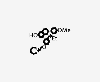 CCN(Cc1ccc(OCCN2CCCCCC2)cc1)C1C=C(OC)C=CC1[C@@H]1CCc2cc(O)ccc2C1